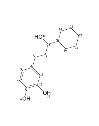 Oc1ccc(CCC(O)C2CCCCC2)cc1O